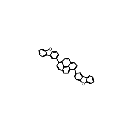 c1ccc2c(c1)oc1ccc(-c3ccc4ccc5c(-c6ccc7oc8ccccc8c7c6)ccc6ccc3c4c65)cc12